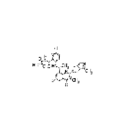 C[C@@H](Nc1ccc(Cl)nc1C(=O)NS(C)(=O)=O)c1cc(F)cc2c(=O)n(C)c(N3Cc4cnn(C)c4C3)nc12